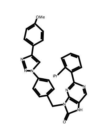 COc1ccc(-c2cn(-c3ccc(Cn4c(=O)[nH]c5cnc(-c6ccccc6C(C)C)nc54)cc3)nn2)cc1